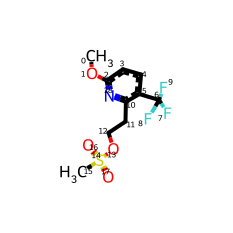 COc1ccc(C(F)(F)F)c(CCOS(C)(=O)=O)n1